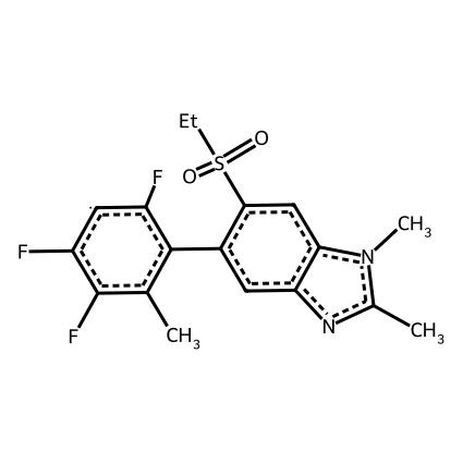 CCS(=O)(=O)c1cc2c(cc1-c1c(F)[c]c(F)c(F)c1C)nc(C)n2C